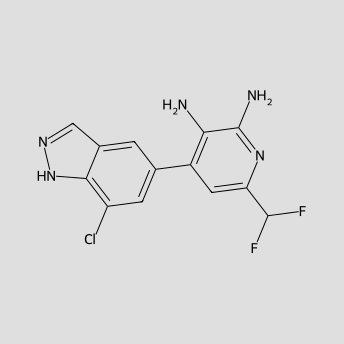 Nc1nc(C(F)F)cc(-c2cc(Cl)c3[nH]ncc3c2)c1N